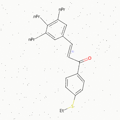 CCCc1cc(/C=C/C(=O)c2ccc(SCC)cc2)cc(CCC)c1CCC